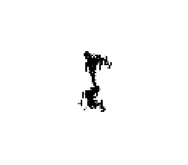 CC(C)(C)OC(=O)n1c(CN2CCCC2)cc2cnc(NC(=O)c3ccc(CCCCC#Cc4cccc5c4CN(C4CCC(=O)N(COCC[Si](C)(C)C)C4=O)C5=O)cc3)cc21